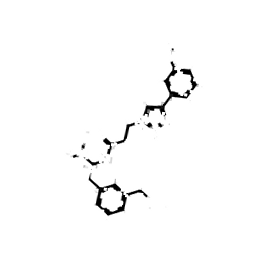 CCc1cccc(C[C@H](NC(=O)CCn2cc(-c3cccc(OC)c3)nn2)B(O)O)c1